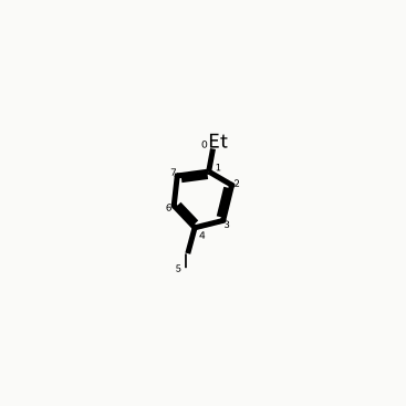 [CH]Cc1ccc(I)cc1